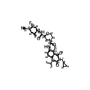 CC(C)n1c(=O)n(CC2CC2)c(=O)c2c(F)c(NC(=O)N3CCO[C@@H](C(=O)Nc4cc(F)c(C#N)cc4F)C3)ccc21